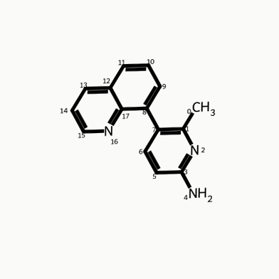 Cc1nc(N)ccc1-c1cccc2cccnc12